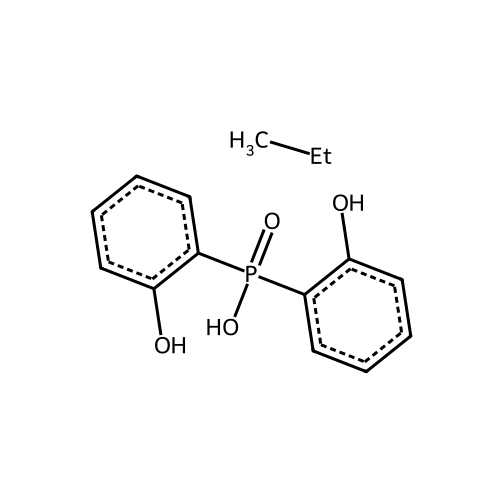 CCC.O=P(O)(c1ccccc1O)c1ccccc1O